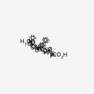 CN(c1ccccc1)S(=O)(=O)c1cccc(NC(=O)N(Cc2ccc(C(=O)NCC(F)C(=O)O)cc2)c2ccc(C3CCCCC3)cc2)c1